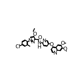 CCOc1cn(-c2ccc(Cl)cc2C)nc1C(=O)Nc1ccc(Oc2ccnc3cc(OC)c(OC)cc23)cn1